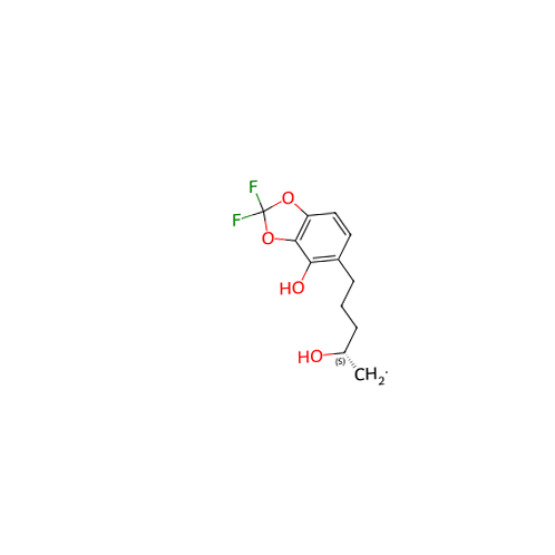 [CH2][C@H](O)CCCc1ccc2c(c1O)OC(F)(F)O2